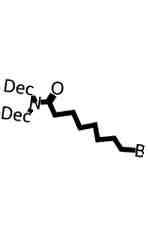 CCCCCCCCCCN(CCCCCCCCCC)C(=O)CCCCCCCBr